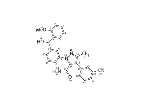 COc1ccccc1C(O)c1cccc(-n2nc(C(F)(F)F)c(-c3cccc(C#N)c3)c2C(N)=O)c1